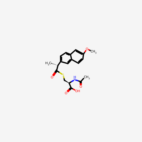 COc1ccc2cc([C@@H](C)C(=O)SC[C@@H](NC(C)=O)C(=O)O)ccc2c1